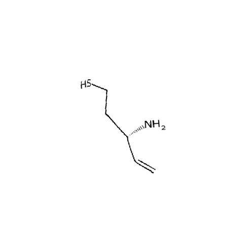 C=C[C@@H](N)CCS